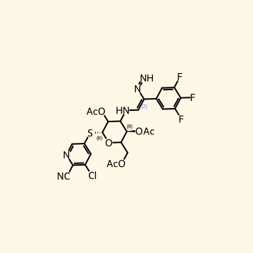 CC(=O)OCC1O[C@H](Sc2cnc(C#N)c(Cl)c2)C(OC(C)=O)C(N/C=C(\N=N)c2cc(F)c(F)c(F)c2)[C@H]1OC(C)=O